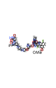 C#Cc1c(F)ccc2cc(OCOC)cc(-c3ncc4c(N5CC6CCC(C5)N6C(=O)OC(C)(C)C)nc(OC[C@@H]5C[C@@H](OC6CCN(CC7CCN(c8ccc9c(c8)n(C(C)C)c(=O)n9C8CCC(=O)NC8=O)CC7)CC6)CN5C)nc4c3F)c12